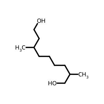 CC(CO)CCCCC(C)CCO